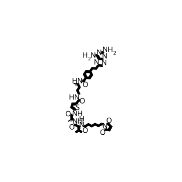 CC(C)[C@H](NC(=O)CCCCCN1C(=O)C=CC1=O)C(=O)N[C@@H](C)C(=O)Nc1ccc(C(=O)NCCC[C@@H](C)NC(=O)c2ccc(CCc3cnc4nc(N)nc(N)c4n3)cc2)s1